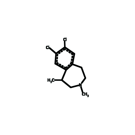 CC1CN(C)CCc2cc(Cl)c(Cl)cc21